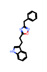 [CH](Cc1c[nH]c2ccccc12)c1nc(Cc2ccccc2)no1